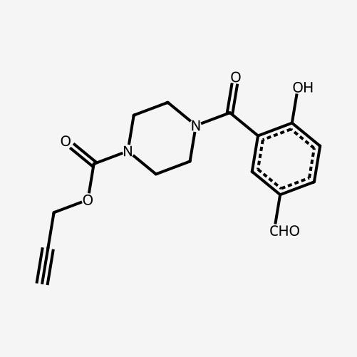 C#CCOC(=O)N1CCN(C(=O)c2cc(C=O)ccc2O)CC1